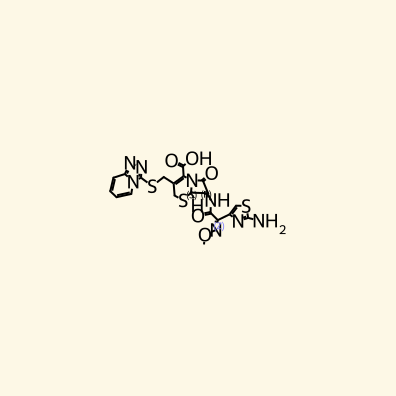 CO/N=C(\C(=O)N[C@@H]1C(=O)N2C(C(=O)O)=C(CSc3nnc4ccccn34)CS[C@@H]12)c1csc(N)n1